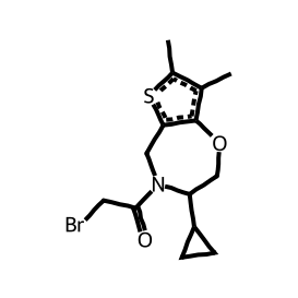 Cc1sc2c(c1C)OCC(C1CC1)N(C(=O)CBr)C2